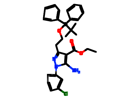 CCOC(=O)c1c(CCO[Si](c2ccccc2)(c2ccccc2)C(C)(C)C)nn(-c2cccc(Cl)c2)c1N